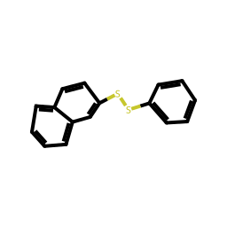 c1ccc(SSc2ccc3ccccc3c2)cc1